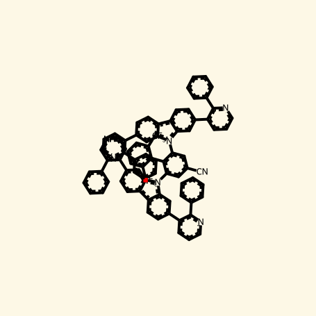 N#Cc1cc(-n2c3cc(-c4ccncc4-c4ccccc4)ccc3c3ccc(-c4cccnc4-c4ccccc4)cc32)c(-c2c(C(F)(F)F)cccc2C(F)(F)F)c(-n2c3cc(-c4cccnc4-c4ccccc4)ccc3c3ccc(-c4cccnc4-c4ccccc4)cc32)c1